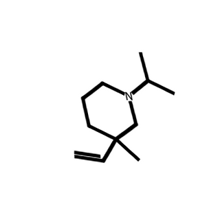 C=CC1(C)CCCN(C(C)C)C1